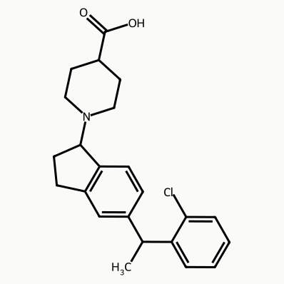 CC(c1ccc2c(c1)CCC2N1CCC(C(=O)O)CC1)c1ccccc1Cl